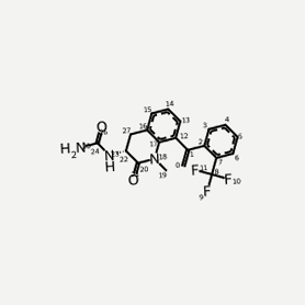 C=C(c1ccccc1C(F)(F)F)c1cccc2c1N(C)C(=O)[C@H](NC(N)=O)C2